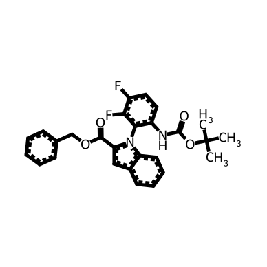 CC(C)(C)OC(=O)Nc1ccc(F)c(F)c1-n1c(C(=O)OCc2ccccc2)cc2ccccc21